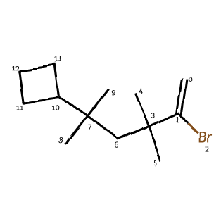 C=C(Br)C(C)(C)CC(C)(C)C1CCC1